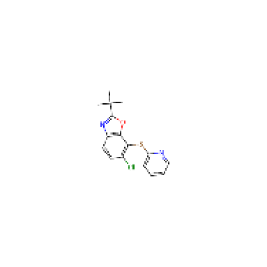 CC(C)(C)c1nc2ccc(Cl)c(Sc3ccccn3)c2o1